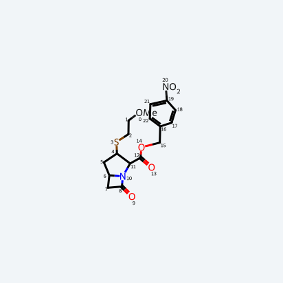 COCCSC1CC2CC(=O)N2C1C(=O)OCc1ccc([N+](=O)[O-])cc1